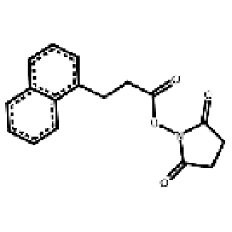 O=C(CCc1cccc2ccccc12)ON1C(=O)CCC1=O